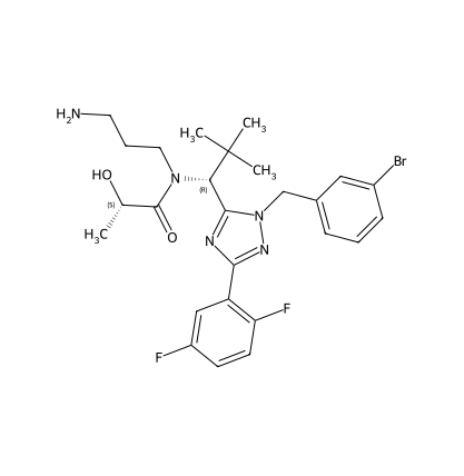 C[C@H](O)C(=O)N(CCCN)[C@@H](c1nc(-c2cc(F)ccc2F)nn1Cc1cccc(Br)c1)C(C)(C)C